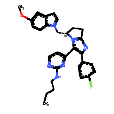 CCCCNc1nccc(-c2c(-c3ccc(F)cc3)nc3n2[C@H](Cn2ccc4cc(OC)ccc42)CC3)n1